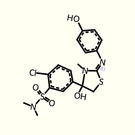 CN1/C(=N\c2ccc(O)cc2)SCC1(O)c1ccc(Cl)c(S(=O)(=O)N(C)C)c1